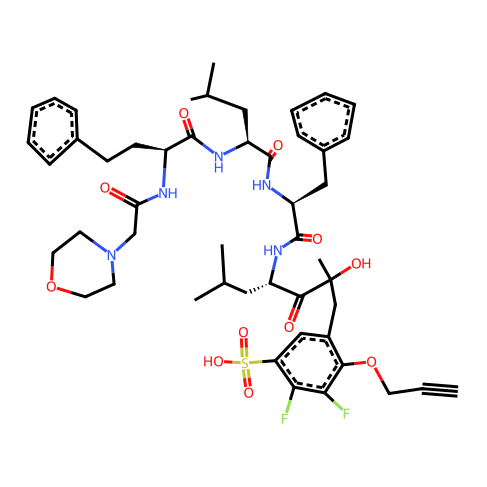 C#CCOc1c(CC(C)(O)C(=O)[C@H](CC(C)C)NC(=O)[C@H](Cc2ccccc2)NC(=O)[C@H](CC(C)C)NC(=O)[C@H](CCc2ccccc2)NC(=O)CN2CCOCC2)cc(S(=O)(=O)O)c(F)c1F